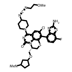 CNC1CCC(OC[C@H]2CSc3c(-c4ccc(F)c5sc(N)nc45)c(Cl)cc4c(N5CCC(N=C=NCCOC)CC5)nc(=O)n2c34)C1